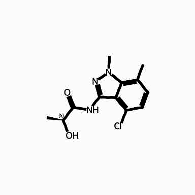 Cc1ccc(Cl)c2c(NC(=O)[C@H](C)O)nn(C)c12